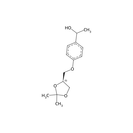 CC(O)c1ccc(OC[C@H]2COC(C)(C)O2)cc1